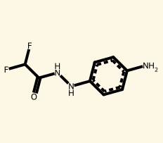 Nc1ccc(NNC(=O)C(F)F)cc1